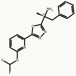 C[C@@](N)(Cc1ccccc1)c1nnc(-c2c[c]cc(OC(F)F)n2)o1